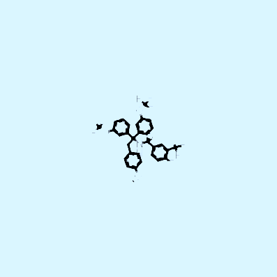 COc1ccc(CC(NC(=O)c2ccc(F)c(C(F)(F)F)c2)(c2cccc(OC(F)(F)F)c2)c2cccc(OC(F)(F)F)c2)cc1